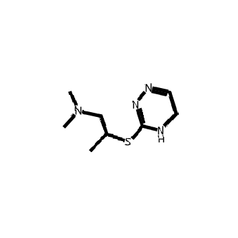 CC(CN(C)C)SC1=NN=CCN1